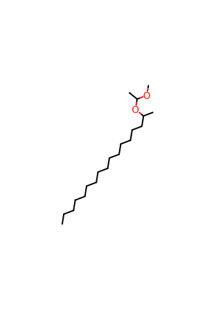 CCCCCCCCCCCCCCCC(C)OC(C)OC